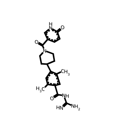 Cc1cc(C2CCN(C(=O)c3ccc(=O)[nH]c3)CC2)c(C)cc1C(=O)NC(=N)N